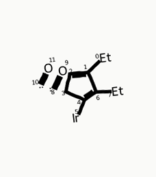 CCC1=CC[C]([Ir])=C1CC.[C]=O.[C]=O